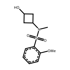 COc1ccccc1S(=O)(=O)N(C)C1CC(O)C1